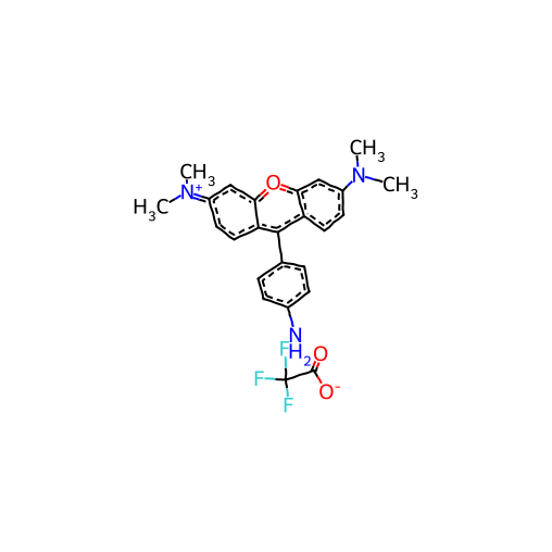 CN(C)c1ccc2c(-c3ccc(N)cc3)c3ccc(=[N+](C)C)cc-3oc2c1.O=C([O-])C(F)(F)F